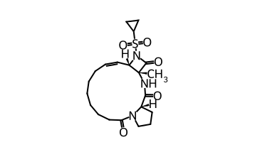 C[C@@]12NC(=O)[C@@H]3CCCN3C(=O)CCCCCC/C=C\[C@@H]1N(S(=O)(=O)C1CC1)C2=O